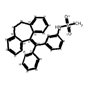 CS(=O)(=O)Nc1cccc(C(=C2c3ccccc3CCc3ccccc32)c2ccccc2)c1